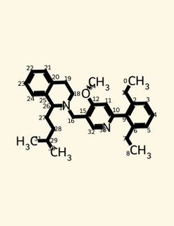 CCc1cccc(CC)c1-c1cc(OC)c(CN2CCc3ccccc3C2CCC(C)C)cn1